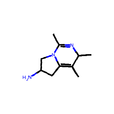 CC1=NC(C)C(C)=C2CC(N)CN12